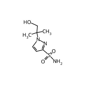 CC(C)(CO)n1ccc(S(N)(=O)=O)n1